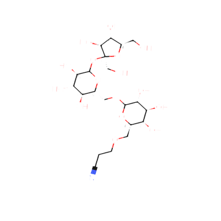 N#CCCOC[C@H]1OC(OC[C@H]2OC(O[C@]3(CO)O[C@H](CO)[C@@H](O)[C@@H]3O)[C@H](O)[C@@H](O)[C@@H]2O)[C@H](O)[C@@H](O)[C@H]1O